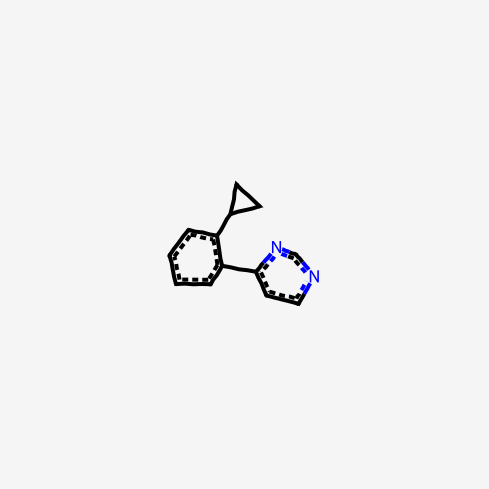 c1ccc(C2CC2)c(-c2ccncn2)c1